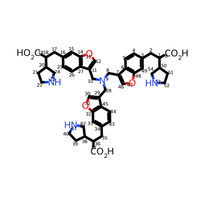 O=C(O)C(Cc1ccc2c(CN(Cc3coc4cc(CC(C(=O)O)C5CCNC5)ccc34)Cc3coc4cc(CC(C(=O)O)C5CCNC5)ccc34)coc2c1)C1CCNC1